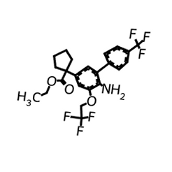 CCOC(=O)C1(c2cc(OCC(F)(F)F)c(N)c(-c3ccc(C(F)(F)F)cc3)c2)CCCC1